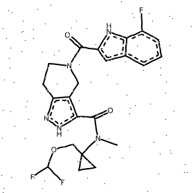 CN(C(=O)c1[nH]nc2c1CN(C(=O)c1cc3cccc(F)c3[nH]1)CC2)C1(COC(F)F)CC1